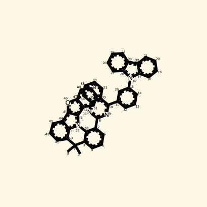 CC1(C)c2cccc(-c3nc(-c4cccc(-n5c6ccccc6c6ccccc65)c4)c4ccccc4n3)c2-n2c3c1cccc3c1oc3ccccc3c12